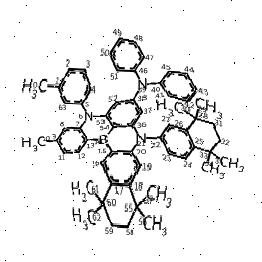 Cc1cccc(N2c3cc(C)ccc3B3c4cc5c(cc4N(c4ccc6c(c4)C(C)(C)CCC6(C)C)c4cc(N(c6ccccc6)c6ccccc6)cc2c43)C(C)(C)CCC5(C)C)c1